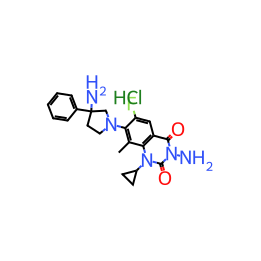 Cc1c(N2CCC(N)(c3ccccc3)C2)c(F)cc2c(=O)n(N)c(=O)n(C3CC3)c12.Cl